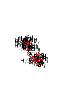 C=CCC[C@@H]1O[C@@H]([C@H](C=CC(O)CC[C@H]2CC(=C)[C@H](CC[C@H]3C[C@@H](C)C(=C)[C@@H](C[C@@H]4O[C@H]5C[C@@H](O[Si](c6ccccc6)(c6ccccc6)C(C)(C)C)[C@@H](CCO[Si](c6ccccc6)(c6ccccc6)C(C)(C)C)O[C@H]5[C@H](C)[C@H]4OCc4ccc(OC)cc4)O3)O2)O[Si](C)(C)C(C)(C)C)[C@@H](O[Si](C)(C)C(C)(C)C)[C@@H](O[Si](C)(C)C(C)(C)C)[C@H]1O[Si](C)(C)C(C)(C)C